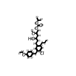 CCCc1cc(Cl)c(Cc2ccc(OCC)cc2)cc1CCC(O)CC(COC(=O)OC(C)C)OC